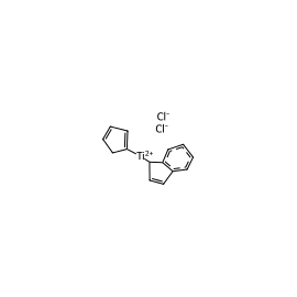 C1=CC[C]([Ti+2][CH]2C=Cc3ccccc32)=C1.[Cl-].[Cl-]